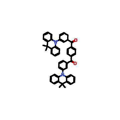 CC1(C)c2ccccc2N(C2=CC(C(=O)c3ccc(C(=O)c4cccc(N5c6ccccc6C(C)(C)c6ccccc65)c4)cc3)CC=C2)c2ccccc21